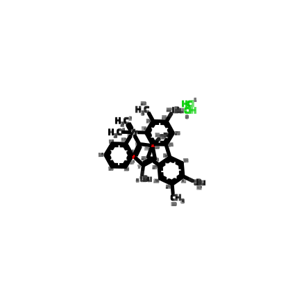 Cl.Cl.[CH2]=[Zr]([CH3])([C]1=CC(C(C)(C)C)=CC1CCC)([c]1ccccc1)[c]1c(C)c(C(C)(C)C)cc2c1Cc1cc(C)c(C(C)(C)C)cc1-2